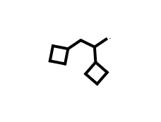 [CH2]C(CC1CCC1)C1CCC1